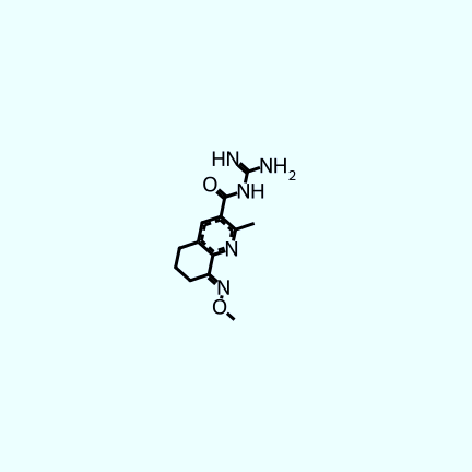 CON=C1CCCc2cc(C(=O)NC(=N)N)c(C)nc21